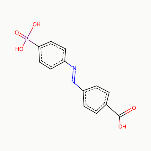 O=C(O)c1ccc(N=Nc2ccc(P(=O)(O)O)cc2)cc1